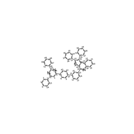 c1ccc(-c2cc(-c3ccc(-c4cccc(-c5nc6ccccc6c6c(-c7ccccc7)c(-c7ccccc7)sc56)c4)cc3)nc(-c3ccccc3)n2)cc1